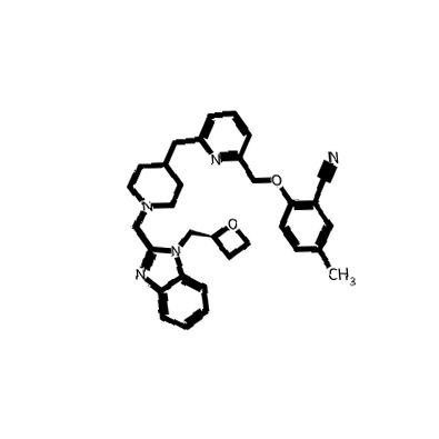 Cc1ccc(OCc2cccc(CC3CCN(Cc4nc5ccccc5n4C[C@@H]4CCO4)CC3)n2)c(C#N)c1